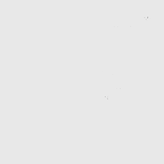 COC(=O)c1cccc(C(=O)ON2CCC(CCOc3ccccc3F)CC2)c1